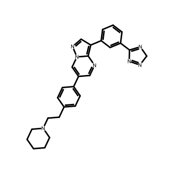 c1cc(C2=NCN=N2)cc(-c2cnn3cc(-c4ccc(CCN5CCCCC5)cc4)cnc23)c1